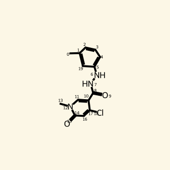 Cc1cccc(NNC(=O)c2cn(C)c(=O)cc2Cl)c1